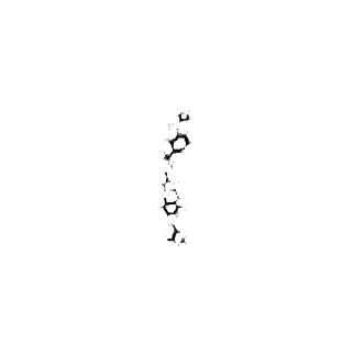 Cc1ncoc1COc1ccc2c(c1C)CCN(C[C@@H](O)CNC(=O)c1cccc(NC3COC3)c1)C2